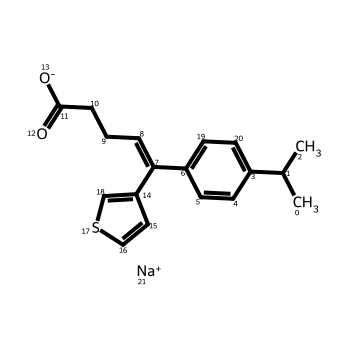 CC(C)c1ccc(C(=CCCC(=O)[O-])c2ccsc2)cc1.[Na+]